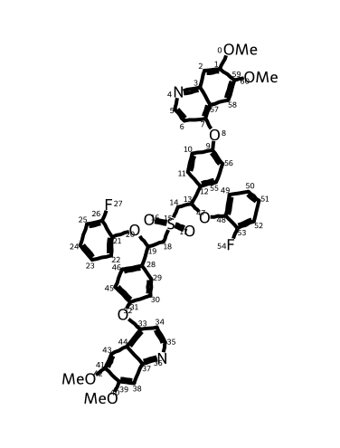 COc1cc2nccc(Oc3ccc(C(CS(=O)(=O)CC(Oc4ccccc4F)c4ccc(Oc5ccnc6cc(OC)c(OC)cc56)cc4)Oc4ccccc4F)cc3)c2cc1OC